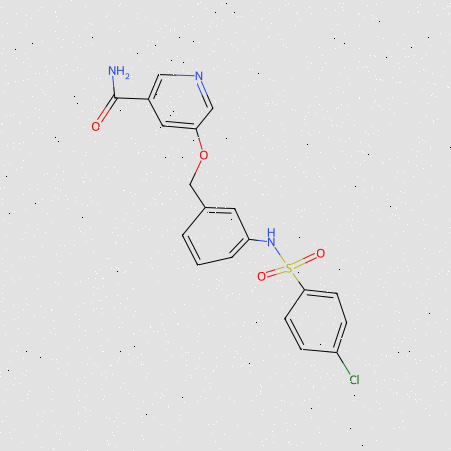 NC(=O)c1cncc(OCc2cccc(NS(=O)(=O)c3ccc(Cl)cc3)c2)c1